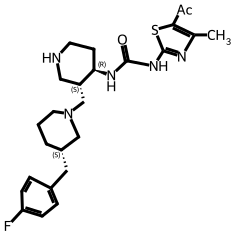 CC(=O)c1sc(NC(=O)N[C@@H]2CCNC[C@H]2CN2CCC[C@@H](Cc3ccc(F)cc3)C2)nc1C